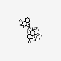 CC1(C)CC(O)(C(F)(F)F)C(NNc2n[nH]c(=O)c3ccccc23)c2ccc(Cl)c(O)c21